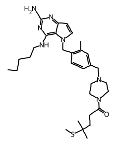 CCCCCNc1nc(N)nc2ccn(Cc3ccc(CN4CCN(C(=O)CCC(C)(C)SC)CC4)cc3C)c12